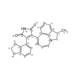 CC1CN2C=CN=C(C3=C(c4cccc5c4OCO5)C(=O)NC3=O)c3cccc1c32